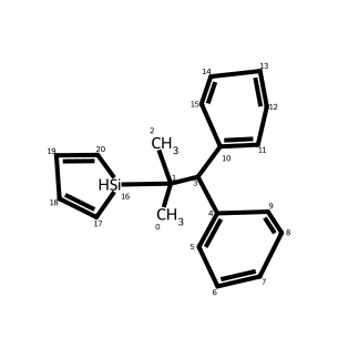 CC(C)(C(c1ccccc1)c1ccccc1)[SiH]1C=CC=C1